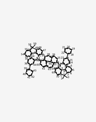 CC1(C)c2ccccc2-c2c(N(c3cccc(-c4ccccc4)c3)c3ccc4ccc5c(N(c6cccc(-c7ccccc7)c6)c6cccc7c6-c6ccccc6C7(C)C)ccc6ccc3c4c65)cccc21